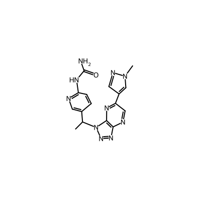 CC(c1ccc(NC(N)=O)nc1)n1nnc2ncc(-c3cnn(C)c3)nc21